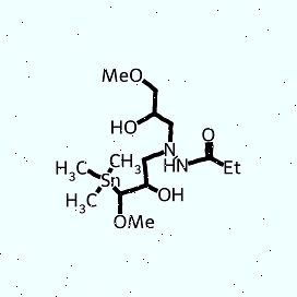 CCC(=O)NN(CC(O)COC)CC(O)[CH](OC)[Sn]([CH3])([CH3])[CH3]